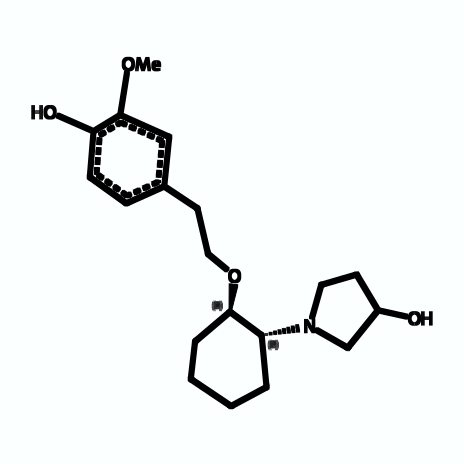 COc1cc(CCO[C@@H]2CCCC[C@H]2N2CCC(O)C2)ccc1O